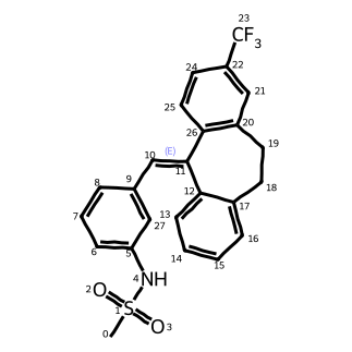 CS(=O)(=O)Nc1cccc(/C=C2\c3ccccc3CCc3cc(C(F)(F)F)ccc32)c1